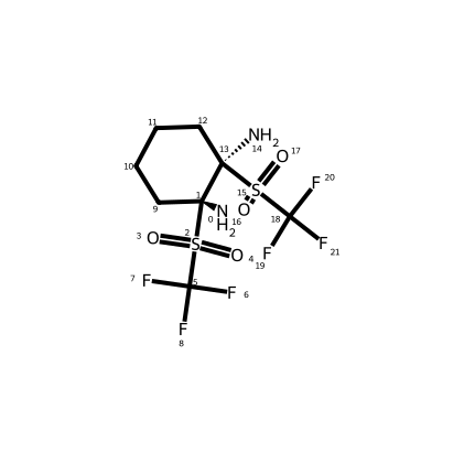 N[C@@]1(S(=O)(=O)C(F)(F)F)CCCC[C@@]1(N)S(=O)(=O)C(F)(F)F